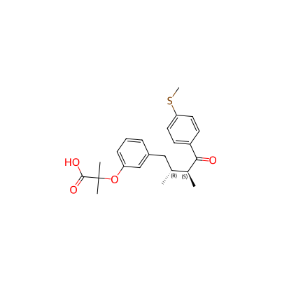 CSc1ccc(C(=O)[C@@H](C)[C@H](C)Cc2cccc(OC(C)(C)C(=O)O)c2)cc1